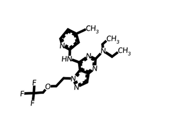 CCN(CC)c1nc(Nc2cc(C)ccn2)c2c(cnn2CCOCC(F)(F)F)n1